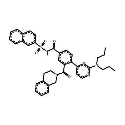 CCCN(CCC)c1nccc(-c2ccc(C(=O)NS(=O)(=O)c3ccc4ccccc4c3)cc2C(=O)N2CCc3ccccc3C2)n1